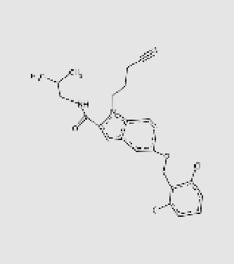 CC(C)CNC(=O)c1cc2cc(OCc3c(Cl)cccc3Cl)ccc2n1CCCC#N